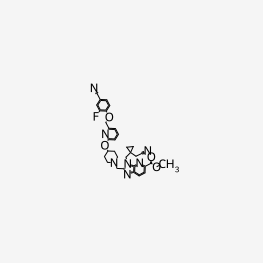 COC(=O)c1ccc2nc(CN3CCC(Oc4cccc(COc5ccc(C#N)cc5F)n4)CC3)n(CC3(CC#N)CC3)c2n1